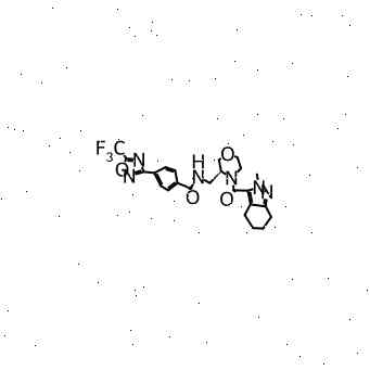 Cn1nc2c(c1C(=O)N1CCOC[C@@H]1CNC(=O)c1ccc(-c3noc(C(F)(F)F)n3)cc1)CCCC2